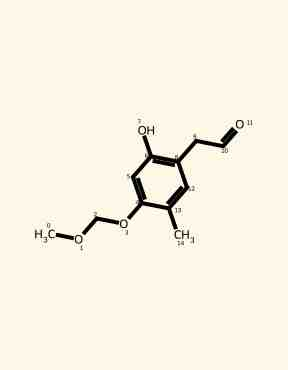 COCOc1cc(O)c(CC=O)cc1C